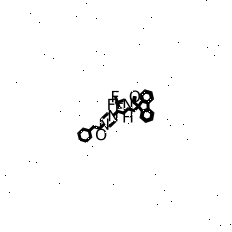 O=C(CC1CCCCC1)N1CCN(CCCCC2(C(=O)NCC(F)(F)F)c3ccccc3-c3ccccc32)CC1